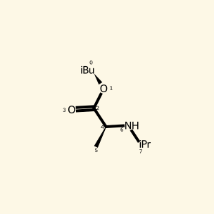 CC[C@H](C)OC(=O)[C@H](C)NC(C)C